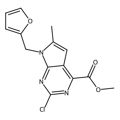 COC(=O)c1nc(Cl)nc2c1cc(C)n2Cc1ccco1